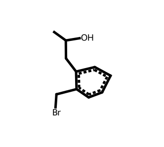 CC(O)Cc1ccccc1CBr